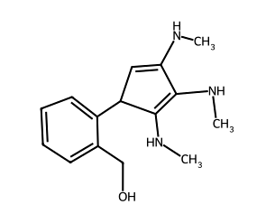 CNC1=CC(c2ccccc2CO)C(NC)=C1NC